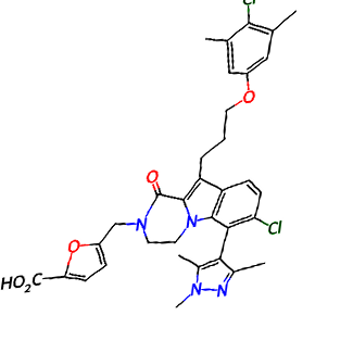 Cc1cc(OCCCc2c3n(c4c(-c5c(C)nn(C)c5C)c(Cl)ccc24)CCN(Cc2ccc(C(=O)O)o2)C3=O)cc(C)c1Cl